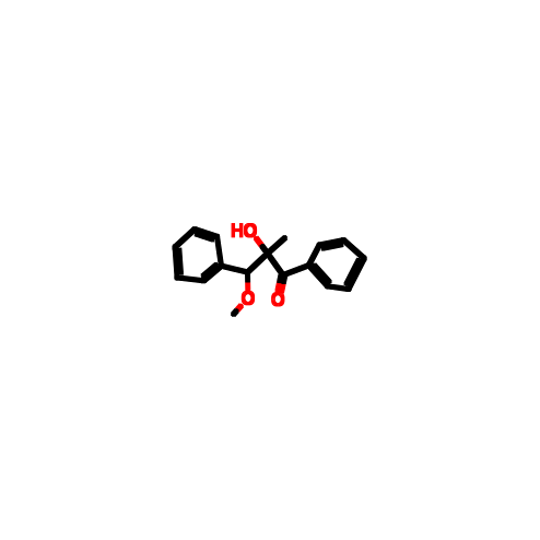 COC(c1ccccc1)C(C)(O)C(=O)c1ccccc1